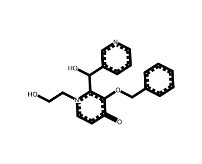 O=c1ccn(CCO)c(C(O)c2cccnc2)c1OCc1ccccc1